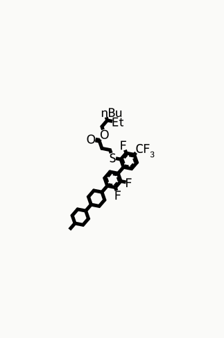 CCCCC(CC)COC(=O)CCSc1c(-c2ccc(C3CCC(C4CCC(C)CC4)CC3)c(F)c2F)ccc(C(F)(F)F)c1F